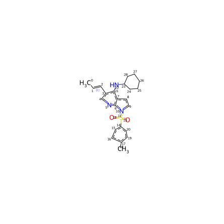 C/C=C/c1cnc2c(ccn2S(=O)(=O)c2ccc(C)cc2)c1NC1CCCCC1